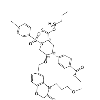 CCC[SiH2]OC(=S)[C@@H]1C[C@H](c2ccc(C(=O)OC)cc2)[C@@H](OCc2ccc3c(c2)N(CCCOC)C(=O)CO3)CN1S(=O)(=O)c1ccc(C)cc1